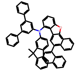 CC1(C)c2ccccc2-c2ccc(N(c3cc(-c4ccccc4)cc(-c4ccccc4)c3)c3cccc4oc5c6ccccc6c(-c6cccc7ccccc67)cc5c34)cc21